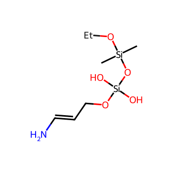 CCO[Si](C)(C)O[Si](O)(O)OCC=CN